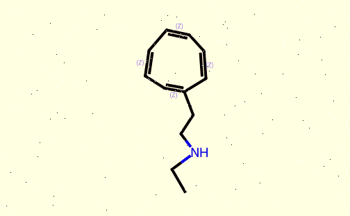 CCNCCC1=C/C=C\C=C/C=C\1